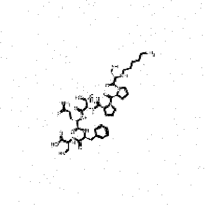 CCCCCCN[C@@H](CS)C(=O)N1CCC[C@H]1C(=O)N1CCC[C@H]1C(=O)N[C@H](C(=O)N[C@@H](CCC(N)=O)C(=O)N[C@@H](Cc1ccccc1)C(=O)N[C@@H](CS)C(=O)O)[C@@H](C)O